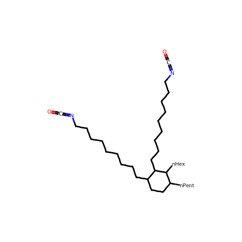 CCCCCCC1C(CCCCC)CCC(CCCCCCCCCN=C=O)C1CCCCCCCCCN=C=O